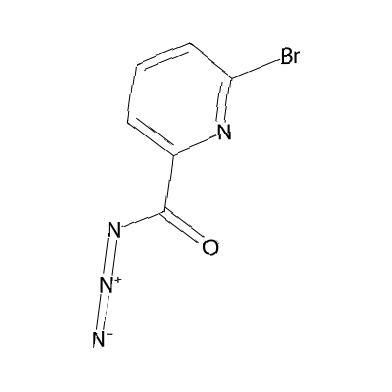 [N-]=[N+]=NC(=O)c1cccc(Br)n1